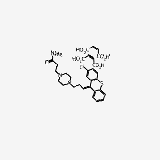 CNC(=O)CCN1CCN(CC/C=C2/c3ccccc3Sc3ccc(Cl)cc32)CC1.O=C(O)/C=C\C(=O)O.O=C(O)/C=C\C(=O)O